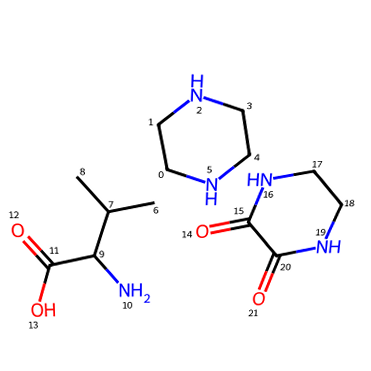 C1CNCCN1.CC(C)C(N)C(=O)O.O=C1NCCNC1=O